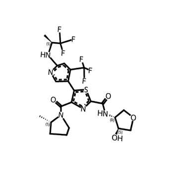 C[C@H](Nc1cc(C(F)(F)F)c(-c2sc(C(=O)N[C@@H]3COC[C@H]3O)nc2C(=O)N2CCC[C@@H]2C)cn1)C(F)(F)F